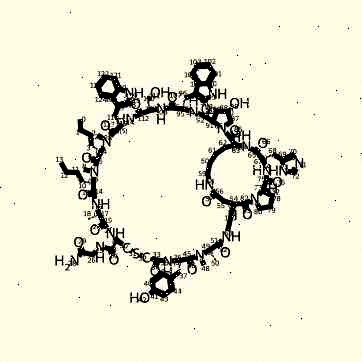 CCCC[C@H]1C(=O)N(C)[C@@H](CCCC)C(=O)N[C@@H](C)C(=O)N[C@H](C(=O)NCC(N)=O)CSCC(=O)N[C@@H](Cc2ccc(O)cc2)C(=O)N(C)[C@@H](C)C(=O)N[C@H]2CC(=O)NCCCC[C@H](NC(=O)[C@H](Cc3cnc[nH]3)NC(=O)[C@@H]3CCCN3C2=O)C(=O)N2C[C@H](O)C[C@H]2C(=O)N[C@@H](Cc2c[nH]c3ccccc23)C(=O)N[C@@H](CO)C(=O)N[C@@H](Cc2c[nH]c3ccccc23)C(=O)N1C